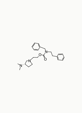 CN(C)[C@H]1CCN(CCOC(=O)N(CCc2ccccc2)Cc2ccccc2)C1